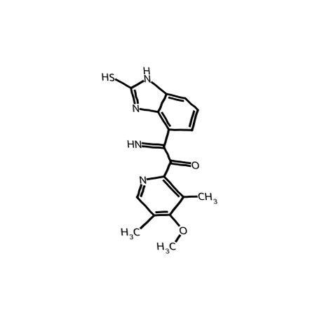 COc1c(C)cnc(C(=O)C(=N)c2cccc3[nH]c(S)nc23)c1C